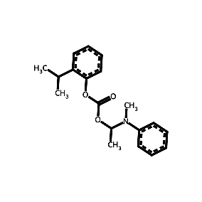 CC(C)c1ccccc1OC(=O)OC(C)N(C)c1ccccc1